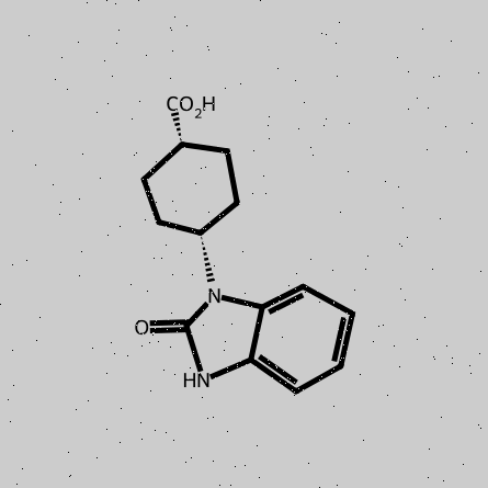 O=c1[nH]c2ccccc2n1[C@H]1CC[C@@H](C(=O)O)CC1